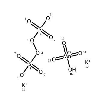 O=S(=O)([O-])OOS(=O)(=O)[O-].[K+].[K+].[O]=[Mn](=[O])(=[O])[OH]